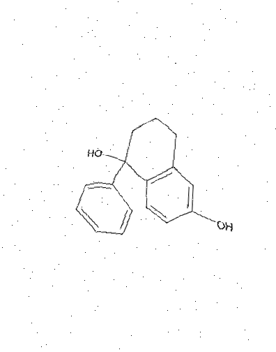 Oc1ccc2c(c1)CCCC2(O)c1ccccc1